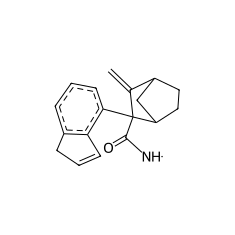 C=C1C2CCC(C2)C1(C([NH])=O)c1cccc2c1C=CC2